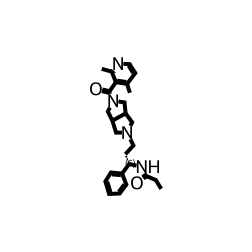 CCC(=O)N[C@@H](CCN1CC2CN(C(=O)c3c(C)ccnc3C)CC2C1)c1ccccc1